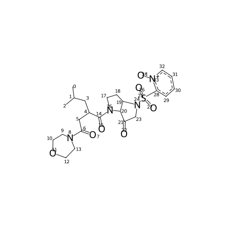 CC(C)CC(CC(=O)N1CCOCC1)C(=O)N1CCC2C1C(=O)CN2S(=O)(=O)c1cccc[n+]1[O-]